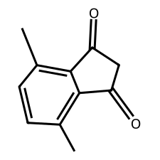 Cc1ccc(C)c2c1C(=O)CC2=O